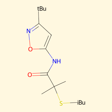 CCC(C)SC(C)(C)C(=O)Nc1cc(C(C)(C)C)no1